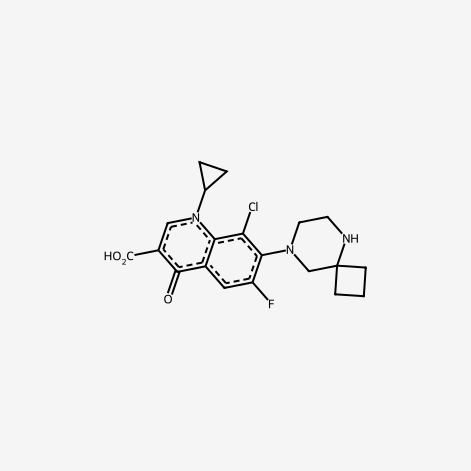 O=C(O)c1cn(C2CC2)c2c(Cl)c(N3CCNC4(CCC4)C3)c(F)cc2c1=O